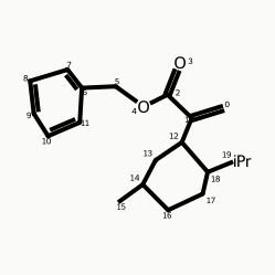 C=C(C(=O)OCc1ccccc1)C1CC(C)CCC1C(C)C